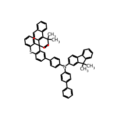 CC1(C)c2ccccc2-c2ccc(N(c3ccc(-c4ccccc4)cc3)c3ccc(-c4ccc5c(c4)C4(c6ccccc6S5)c5ccccc5C(C)(C)c5c4ccc4ccccc54)cc3)cc21